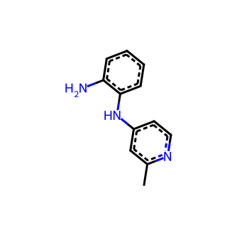 Cc1cc(Nc2ccccc2N)ccn1